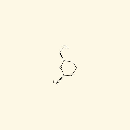 CC[C@H]1CCC[C@@H](C)O1